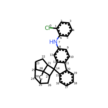 Clc1ccccc1Nc1ccc2c(c1)C1(c3ccccc3-2)C2CC3CC4CC1C2(C3)C4